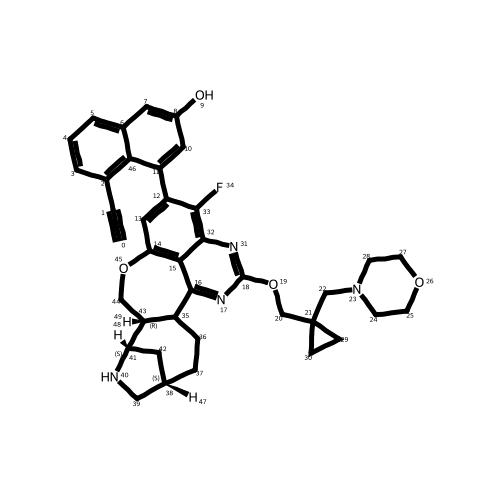 C#Cc1cccc2cc(O)cc(-c3cc4c5c(nc(OCC6(CN7CCOCC7)CC6)nc5c3F)C3CC[C@@H]5CN[C@@H](C5)[C@@H]3CO4)c12